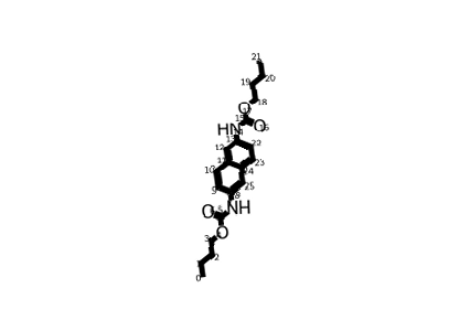 CCCCOC(=O)Nc1ccc2cc(NC(=O)OCCCC)ccc2c1